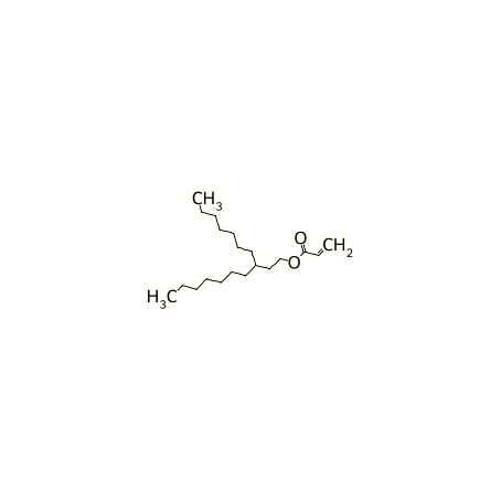 C=CC(=O)OCCC(CCCCCCC)CCCCCCC